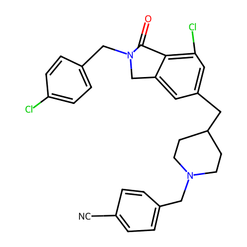 N#Cc1ccc(CN2CCC(Cc3cc(Cl)c4c(c3)CN(Cc3ccc(Cl)cc3)C4=O)CC2)cc1